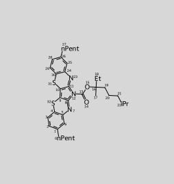 CCCCCc1ccc2c(c1)N=c1c(c3c(n1C(=O)OC(C)(CC)CCCC(C)C)=Nc1cc(CCCCC)ccc1S3)S2